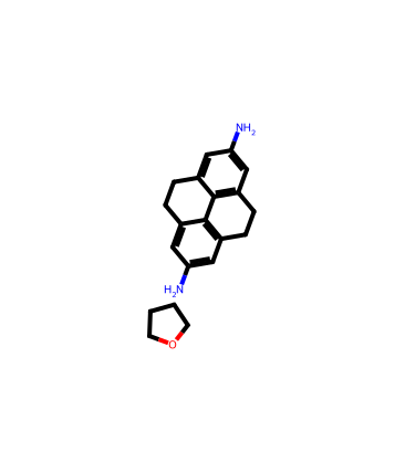 C1CCOC1.Nc1cc2c3c(c1)CCc1cc(N)cc(c1-3)CC2